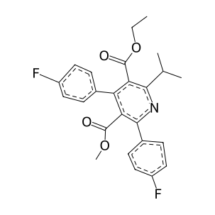 CCOC(=O)c1c(C(C)C)nc(-c2ccc(F)cc2)c(C(=O)OC)c1-c1ccc(F)cc1